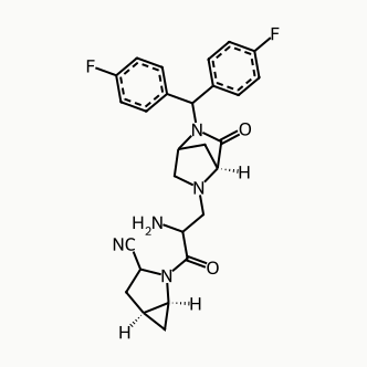 N#CC1C[C@@H]2C[C@@H]2N1C(=O)C(N)CN1CC2C[C@H]1C(=O)N2C(c1ccc(F)cc1)c1ccc(F)cc1